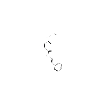 O=C(/C=C\C(=O)OC=Cc1ccccc1)NO